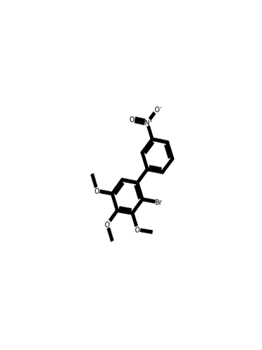 COc1cc(-c2cc[c]c([N+](=O)[O-])c2)c(Br)c(OC)c1OC